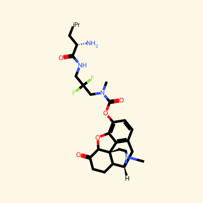 CC(C)C[C@H](N)C(=O)NCC(F)(F)CN(C)C(=O)Oc1ccc2c3c1OC1C(=O)CCC4[C@@H](C2)N(C)CC[C@]314